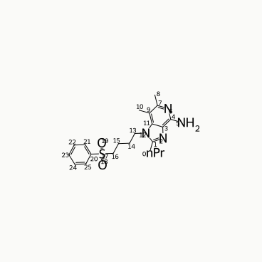 CCCc1nc2c(N)nc(C)c(C)c2n1CCCCS(=O)(=O)c1ccccc1